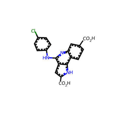 O=C(O)c1ccc2c(c1)nc(Nc1ccc(Cl)cc1)c1cc(C(=O)O)[nH]c12